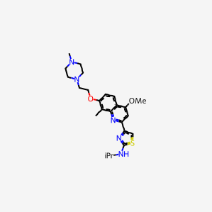 COc1cc(-c2csc(NC(C)C)n2)nc2c(C)c(OCCN3CCN(C)CC3)ccc12